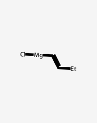 CCC=[CH][Mg][Cl]